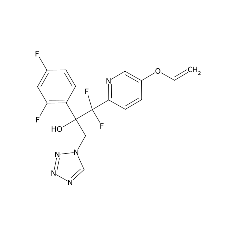 C=COc1ccc(C(F)(F)C(O)(Cn2cnnn2)c2ccc(F)cc2F)nc1